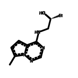 CC[C@@H](O)CNc1ncnn2c(C)ccc12